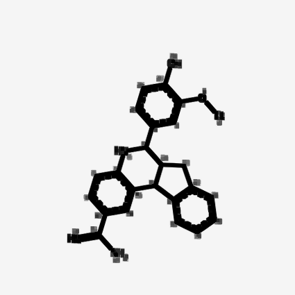 CCOc1cc(C2Nc3ccc(C(=N)N)cc3C3c4ccccc4CC23)ccc1O